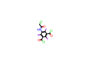 O=C(CCl)Nc1c(I)c(C(=O)Cl)c(I)c(C(=O)Cl)c1I